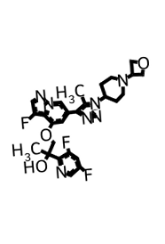 Cc1c(-c2cc(OCC(C)(O)c3ncc(F)cc3F)c3c(F)cnn3c2)nnn1C1CCN(C2COC2)CC1